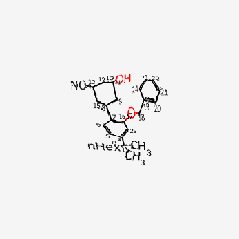 CCCCCCC(C)(C)c1ccc(C2CC(O)CC(C#N)C2)c(OCc2ccccc2)c1